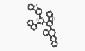 c1ccc2c(c1)-c1cc3ccccc3cc1CCC2c1cc(-c2nc(-c3ccc4sc5ccccc5c4c3)nc(-c3cccc4ccccc34)n2)c2c(c1)oc1ccccc12